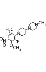 COc1c([N+](=O)[O-])cc(C)c(N2CCC(N3CCN(C)CC3)CC2)c1F